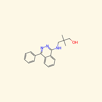 CC(C)(CO)CNc1nnc(-c2ccccc2)c2ccccc12